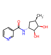 [CH2][C@@H]1C[C@@H](NC(=O)c2cccnc2)[C@H](O)[C@@H]1O